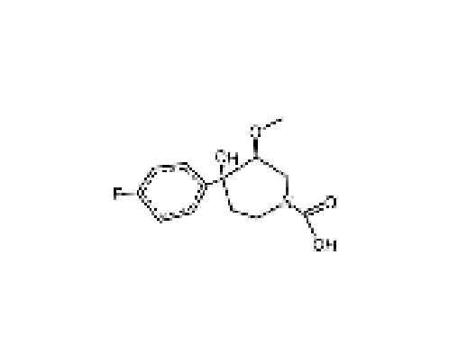 CO[C@H]1CN(C(=O)O)CC[C@]1(O)c1ccc(F)cc1